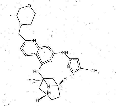 Cc1cc(Nc2cc3nc(CN4CCOCC4)ccc3c(NC3C[C@H]4CC[C@@H](C3)N4CC(F)(F)F)n2)n[nH]1